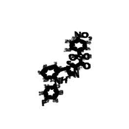 O=C(c1ncc(-c2ccccc2Nc2ccc(F)cc2)s1)S(=O)(=O)c1ccc([N+](=O)[O-])cc1